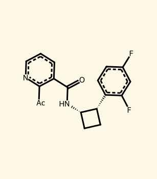 CC(=O)c1ncccc1C(=O)N[C@H]1CC[C@H]1c1ccc(F)cc1F